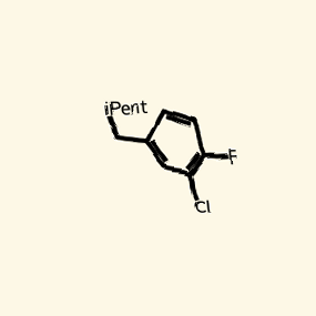 CCCC(C)Cc1ccc(F)c(Cl)c1